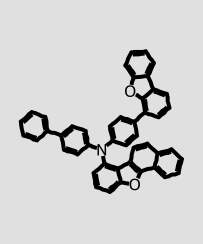 c1ccc(-c2ccc(N(c3ccc(-c4cccc5c4oc4ccccc45)cc3)c3cccc4oc5c6ccccc6ccc5c34)cc2)cc1